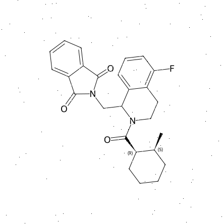 C[C@H]1CCCC[C@H]1C(=O)N1CCc2c(F)cccc2C1CN1C(=O)c2ccccc2C1=O